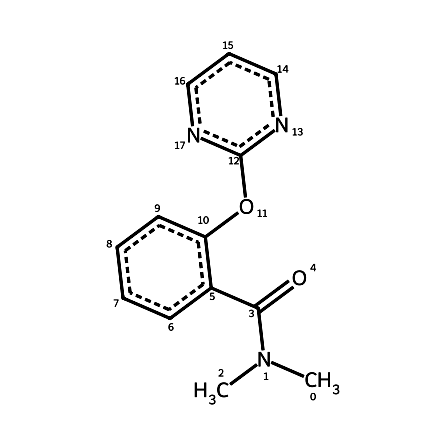 CN(C)C(=O)c1ccccc1Oc1ncccn1